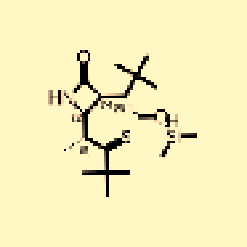 C[C@@H](C(=S)C(C)(C)C)[C@H]1NC(=O)[C@H]1[C@@H](CO[SiH](C)C)C(C)(C)C